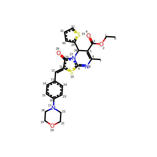 CCOC(=O)C1=C(C)N=c2s/c(=C\c3ccc(N4CCOCC4)cc3)c(=O)n2C1c1cccs1